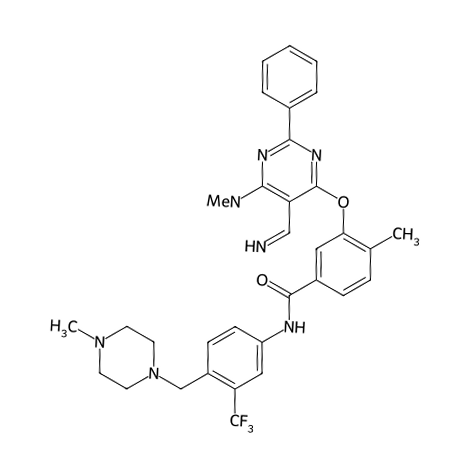 CNc1nc(-c2ccccc2)nc(Oc2cc(C(=O)Nc3ccc(CN4CCN(C)CC4)c(C(F)(F)F)c3)ccc2C)c1C=N